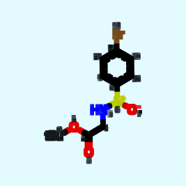 CC(C)(C)OC(=O)CN[S+]([O-])c1ccc(Br)cc1